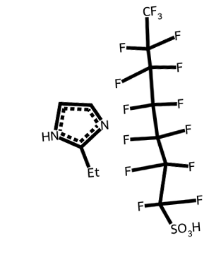 CCc1ncc[nH]1.O=S(=O)(O)C(F)(F)C(F)(F)C(F)(F)C(F)(F)C(F)(F)C(F)(F)C(F)(F)F